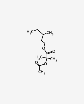 CCC(C)CCOC(=O)C(C)(C)OC(C)=O